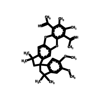 COc1cc2c(cc1OC)C1(CC2(C)C)CC(C)(C)c2cc3c(cc21)Oc1c(c(C(C)=N)c(C)c(C)c1C(C)=N)O3